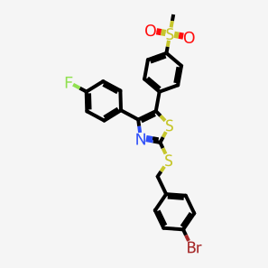 CS(=O)(=O)c1ccc(-c2sc(SCc3ccc(Br)cc3)nc2-c2ccc(F)cc2)cc1